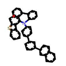 c1ccc(-c2ccccc2N(c2ccc(-c3cccc(-c4ccc5ccccc5c4)c3)cc2)c2cccc3sc4ccccc4c23)cc1